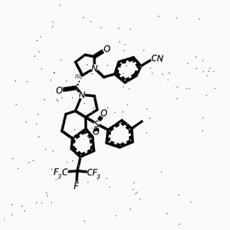 Cc1cccc(S(=O)(=O)C23CCN(C(=O)[C@@H]4CCC(=O)N4Cc4ccc(C#N)cc4)C2CCc2cc(C(F)(C(F)(F)F)C(F)(F)F)ccc23)c1